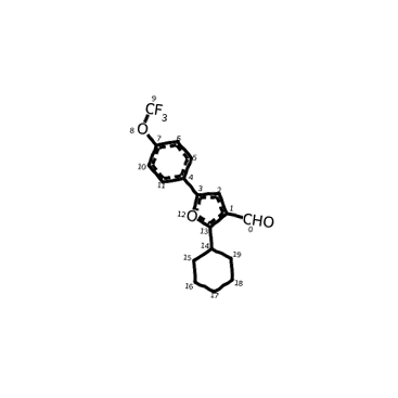 O=Cc1cc(-c2ccc(OC(F)(F)F)cc2)oc1C1CCCCC1